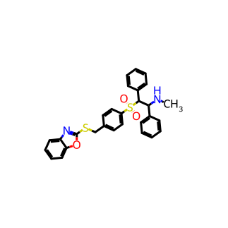 CNC(c1ccccc1)C(c1ccccc1)S(=O)(=O)c1ccc(CSc2nc3ccccc3o2)cc1